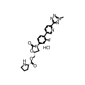 Cl.Cn1nnc(-c2ccc(-c3ccc(N4C[C@H](COC(=O)[C@@H]5CCCN5)OC4=O)cc3F)cn2)n1